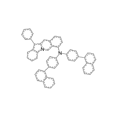 c1ccc(-c2c3ccccc3n3cc4c(N(c5ccc(-c6cccc7ccccc67)cc5)c5ccc(-c6cccc7ccccc67)cc5)cccc4cc23)cc1